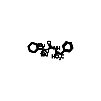 CC(C)(C)[Si](OC(=O)N[C@@H](Cc1ccccc1)C(=O)O)(C1CCCCC1)C(C)(C)C